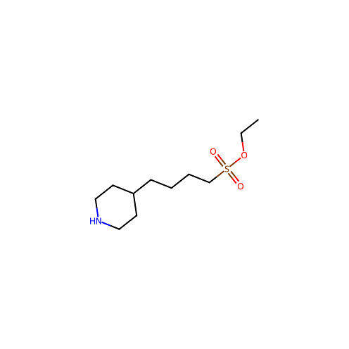 CCOS(=O)(=O)CCCCC1CCNCC1